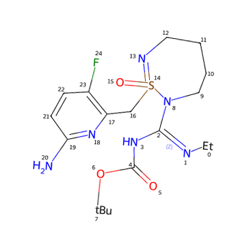 CC/N=C(/NC(=O)OC(C)(C)C)N1CCCCN=S1(=O)Cc1nc(N)ccc1F